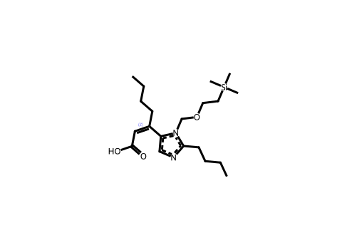 CCCC/C(=C/C(=O)O)c1cnc(CCCC)n1COCC[Si](C)(C)C